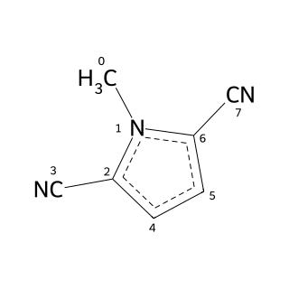 Cn1c(C#N)ccc1C#N